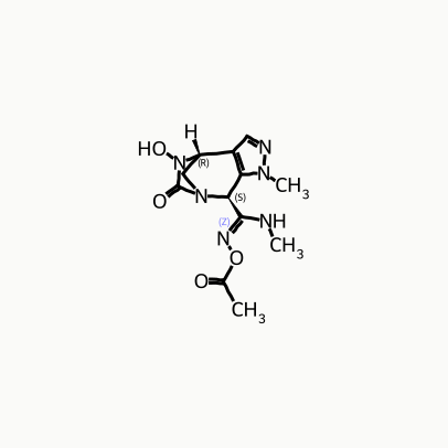 CN/C(=N\OC(C)=O)[C@@H]1c2c(cnn2C)[C@@H]2CN1C(=O)N2O